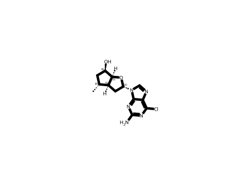 C[C@@H]1C[C@@H](O)[C@H]2O[C@H](n3cnc4c(Cl)nc(N)nc43)C[C@H]21